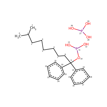 CC(C)CCCCCCC(OP(O)O)(c1ccccc1)c1ccccc1.OP(O)O